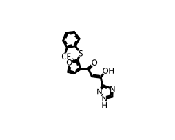 O=C(C=C(O)c1nc[nH]n1)c1ccoc1Sc1ccccc1C(F)(F)F